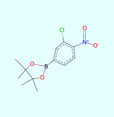 CC1(C)OB(c2ccc([N+](=O)[O-])c(Cl)c2)OC1(C)C